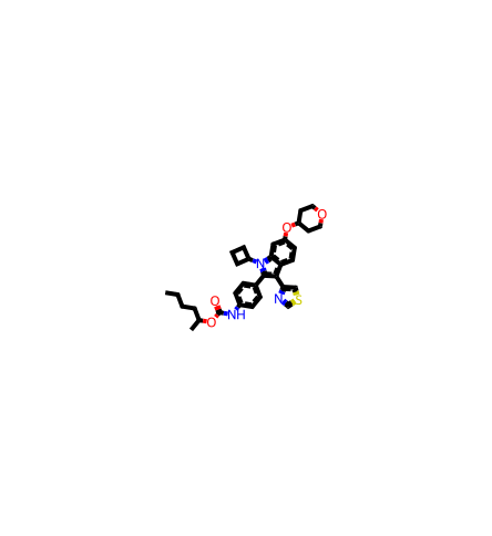 CCCCC(C)OC(=O)Nc1ccc(-c2c(-c3cscn3)c3ccc(OC4CCOCC4)cc3n2C2CCC2)cc1